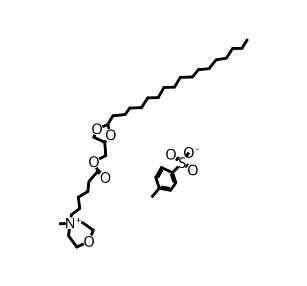 CCCCCCCCCCCCCCCCCC1OCC(COC(=O)CCCCC[N+]2(C)CCOCC2)O1.Cc1ccc(S(=O)(=O)[O-])cc1